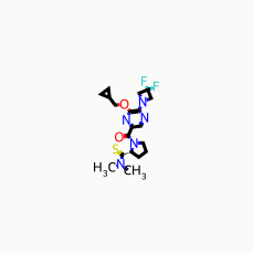 CN(C)C(=S)[C@H]1CCCN1C(=O)c1cnc(N2CC(F)(F)C2)c(OCC2CC2)n1